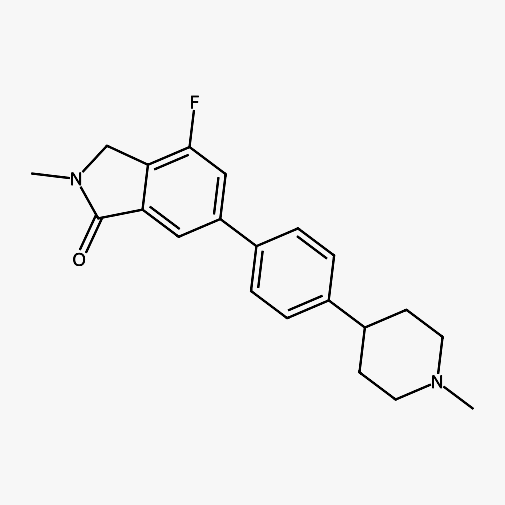 CN1CCC(c2ccc(-c3cc(F)c4c(c3)C(=O)N(C)C4)cc2)CC1